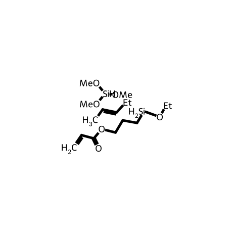 C=CC(=O)OCCC[SiH2]OCC.CC=CCC.CO[SiH](OC)OC